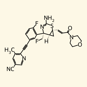 Cc1cc(C#N)cnc1C#Cc1ccc(F)c([C@@]2(CF)N=C(N)S[C@@]3(/C=C/C(=O)N4CCOCC4)C[C@H]32)c1